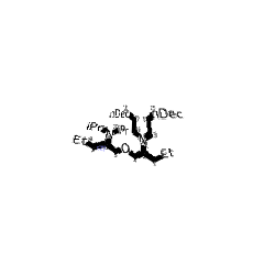 CCC=C(COC/C(=C/CC)N(C(C)C)C(C)C)N(CCCCCCCCCCCC)CCCCCCCCCCCC